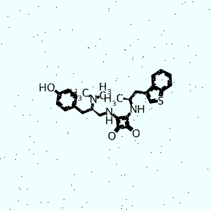 C[C@@H](Cc1csc2ccccc12)Nc1c(NC[C@@H](Cc2ccc(O)cc2)N(C)C)c(=O)c1=O